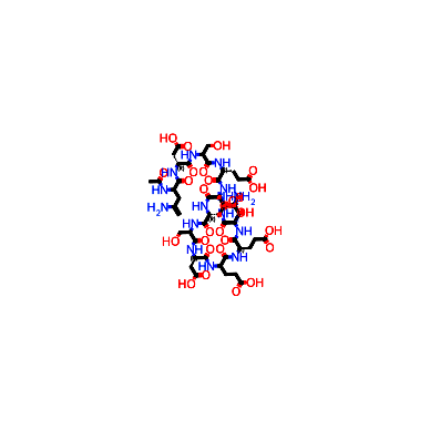 C=C(N)CC(NC(C)=O)C(=O)N[C@H](CC(=O)O)C(=O)NC(CO)C(=O)N[C@H](CCC(=O)O)C(=O)NC(CC(=O)O)C(=O)N[C@H](CC(N)=O)C(=O)NC(CO)C(=O)N[C@H](CC(=O)O)C(=O)NC(CCC(=O)O)C(=O)N[C@H](CCC(=O)O)C(=O)NC(CC(N)=O)C(N)=O